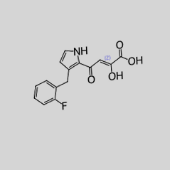 O=C(O)/C(O)=C/C(=O)c1[nH]ccc1Cc1ccccc1F